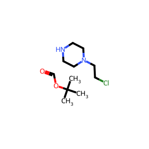 CC(C)(C)OC=O.ClCCN1CCNCC1